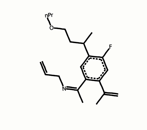 C=CC/N=C(/C)c1cc(C(C)CCOCCC)c(F)cc1C(=C)C